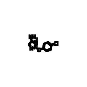 Nc1cnn(Oc2ccc(Cl)cc2)n1